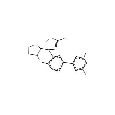 C[C@]12CCO[C@H]1[C@]1(COC(N)=N1)c1cc(-c3cc(F)cc(Cl)c3)ccc1O2